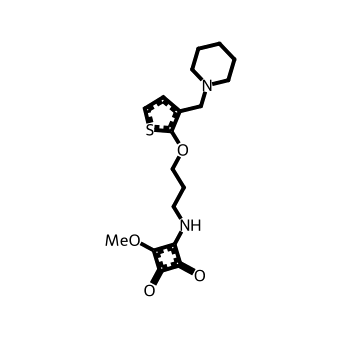 COc1c(NCCCOc2sccc2CN2CCCCC2)c(=O)c1=O